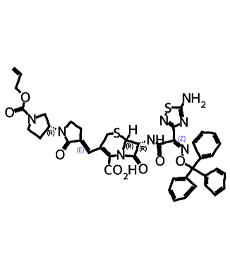 C=CCOC(=O)N1CC[C@@H](N2CC/C(=C\C3=C(C(=O)O)N4C(=O)[C@@H](NC(=O)/C(=N\OC(c5ccccc5)(c5ccccc5)c5ccccc5)c5nsc(N)n5)[C@H]4SC3)C2=O)C1